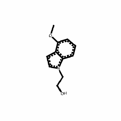 COc1cccc2c1ccn2CCO